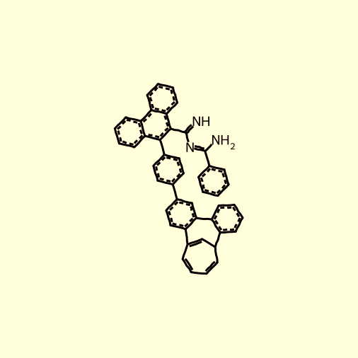 N=C(/N=C(\N)c1ccccc1)c1c(-c2ccc(-c3ccc4c(c3)-c3ccccc3C3C=CC=CC4=C3)cc2)c2ccccc2c2ccccc12